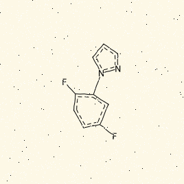 Fc1ccc(F)c(-n2cc[c]n2)c1